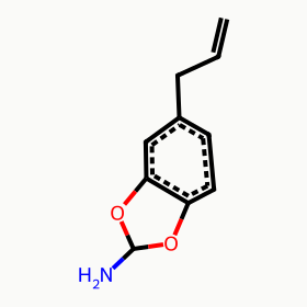 C=CCc1ccc2c(c1)OC(N)O2